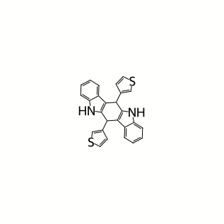 c1ccc2c3c([nH]c2c1)C(c1ccsc1)c1c([nH]c2ccccc12)C3c1ccsc1